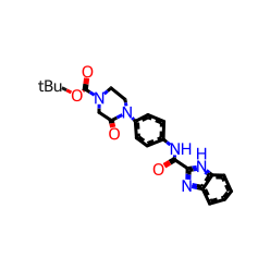 CC(C)(C)OC(=O)N1CCN(c2ccc(NC(=O)c3nc4ccccc4[nH]3)cc2)C(=O)C1